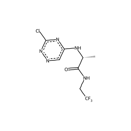 C[C@@H](Nc1cnnc(Cl)n1)C(=O)NCC(F)(F)F